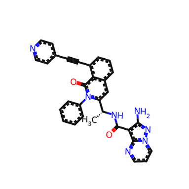 C[C@@H](NC(=O)c1c(N)nn2cccnc12)c1cc2cccc(C#Cc3ccncc3)c2c(=O)n1-c1ccccc1